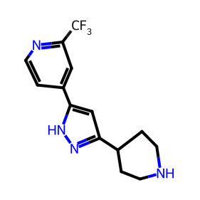 FC(F)(F)c1cc(-c2cc(C3CCNCC3)n[nH]2)ccn1